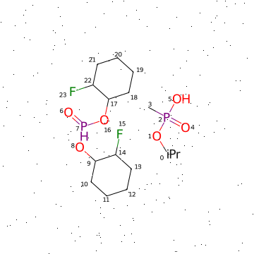 CC(C)OP(C)(=O)O.O=[PH](OC1CCCCC1F)OC1CCCCC1F